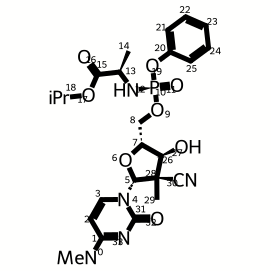 CNc1ccn([C@@H]2O[C@H](CO[P@](=O)(N[C@H](C)C(=O)OC(C)C)Oc3ccccc3)[C@@H](O)[C@@]2(C)C#N)c(=O)n1